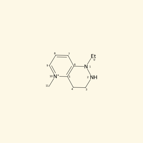 CCN1NCCc2c1ccc[n+]2C